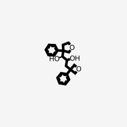 OC(CC1(c2ccccc2)COC1)[C@@H](O)C1(c2ccccc2)CCOC1